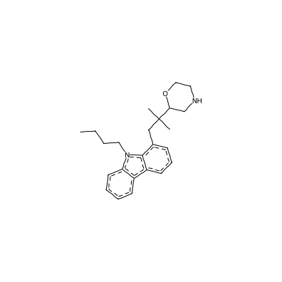 CCCCn1c2ccccc2c2cccc(CC(C)(C)C3CNCCO3)c21